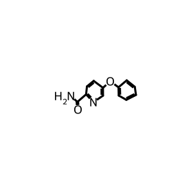 NC(=O)c1ccc(Oc2ccccc2)cn1